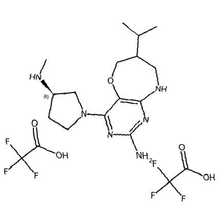 CN[C@@H]1CCN(c2nc(N)nc3c2OCC(C(C)C)CN3)C1.O=C(O)C(F)(F)F.O=C(O)C(F)(F)F